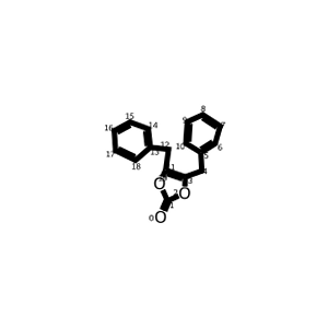 O=c1oc(Cc2ccccc2)c(Cc2ccccc2)o1